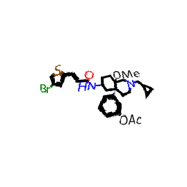 CO[C@]12CC[C@H](NC(=O)C=Cc3cc(Br)cs3)C[C@]1(c1cccc(OC(C)=O)c1)CCN(CC1CC1)C2